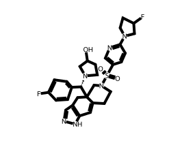 O=S(=O)(c1ccc(N2CCC(F)C2)nc1)N1CCC2=Cc3[nH]ncc3CC2([C@H](c2ccc(F)cc2)N2CCC(O)C2)C1